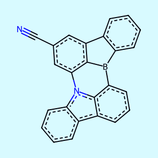 N#Cc1cc2c3c(c1)-n1c4ccccc4c4cccc(c41)B3c1ccccc1-2